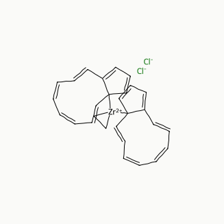 C1=C[C]2([Zr+2]3([C]45C=CC=C4/C=C/C=C\C=C/C=C/5)[CH2][CH2]3)/C=C/C=C\C=C/C=C/C2=C1.[Cl-].[Cl-]